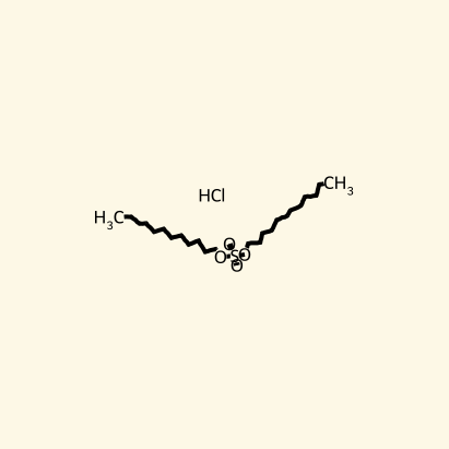 CCCCCCCCCCCCOS(=O)(=O)OCCCCCCCCCCCC.Cl